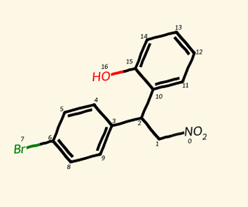 O=[N+]([O-])CC(c1ccc(Br)cc1)c1ccccc1O